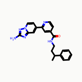 CC(CCNC(=O)c1ccnc(-c2ccn3nc(N)nc3c2)c1)c1ccccc1